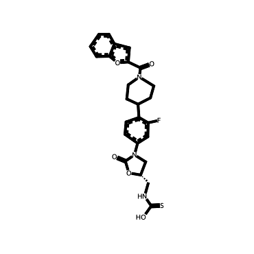 O=C(c1cc2ccccc2o1)N1CCC(c2ccc(N3C[C@H](CNC(O)=S)OC3=O)cc2F)CC1